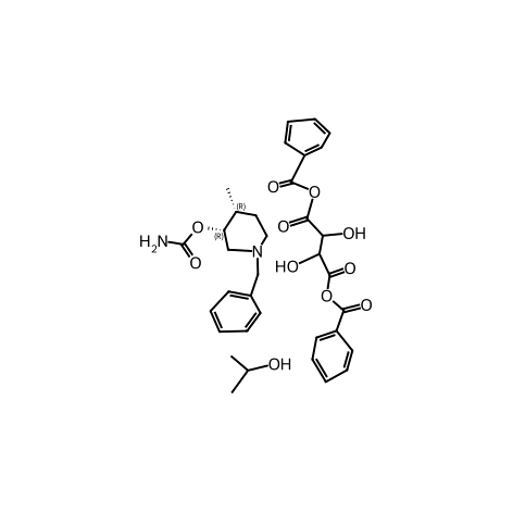 CC(C)O.C[C@@H]1CCN(Cc2ccccc2)C[C@@H]1OC(N)=O.O=C(OC(=O)C(O)C(O)C(=O)OC(=O)c1ccccc1)c1ccccc1